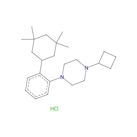 CC1(C)CC(c2ccccc2N2CCN(C3CCC3)CC2)CC(C)(C)C1.Cl